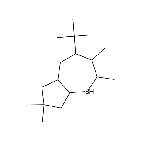 CC1BC2CC(C)(C)CC2CC(C(C)(C)C)C1C